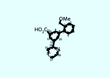 COCc1ccccc1-c1cc(C(=O)O)cc(-c2ccccn2)c1